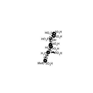 COc1cc2sc(N=Nc3cc(OCCCS(=O)(=O)O)c(N=Nc4c(S(=O)(=O)O)cc5c(S(=O)(=O)O)c(N=Nc6c(C(=O)O)nn(-c7cc(S(=O)(=O)O)c8cc(S(=O)(=O)O)cc(S(=O)(=O)O)c8c7)c6O)ccc5c4O)cc3C)nc2cc1S(=O)(=O)O